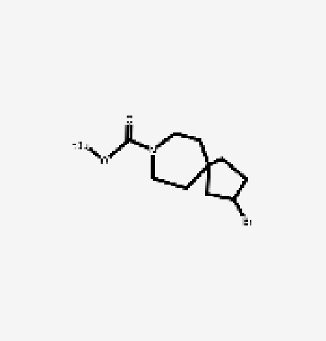 CC(C)(C)OC(=O)N1CCC2(CCC(Br)C2)CC1